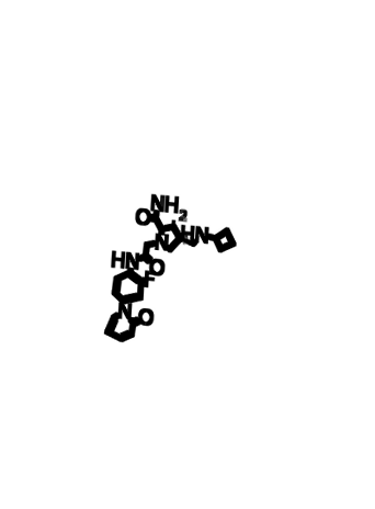 NC(=O)C1[CH][C@@H](CNC2CCC2)CN1CC(=O)Nc1ccc(-n2ccccc2=O)cc1F